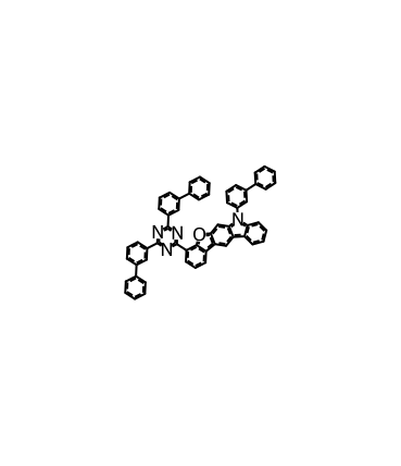 c1ccc(-c2cccc(-c3nc(-c4cccc(-c5ccccc5)c4)nc(-c4cccc5c4oc4cc6c(cc45)c4ccccc4n6-c4cccc(-c5ccccc5)c4)n3)c2)cc1